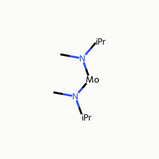 CC(C)[N](C)[Mo][N](C)C(C)C